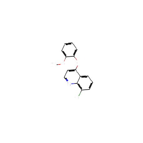 CCOc1ccccc1Oc1ccnc2c(Cl)cccc12